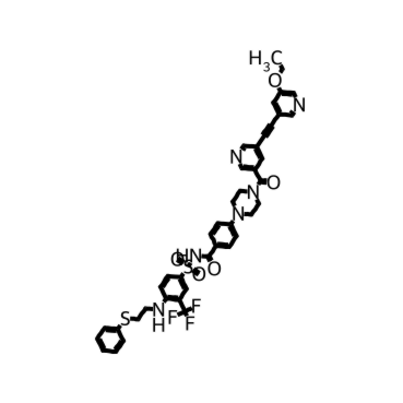 CCOc1cncc(C#Cc2cncc(C(=O)N3CCN(c4ccc(C(=O)NS(=O)(=O)c5ccc(NCCSc6ccccc6)c(C(F)(F)F)c5)cc4)CC3)c2)c1